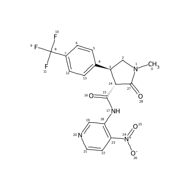 CN1C[C@H](c2ccc(C(F)(F)F)cc2)[C@@H](C(=O)Nc2cnccc2[N+](=O)[O-])C1=O